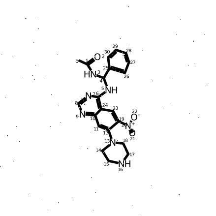 CC(=O)NC(Nc1ncnc2cc(N3CCNCC3)c([N+](=O)[O-])cc12)c1ccccc1